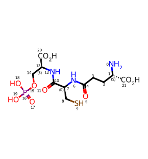 N[C@@H](CCC(=O)N[C@@H](CS)C(=O)N[C@@H](COP(=O)(O)O)C(=O)O)C(=O)O